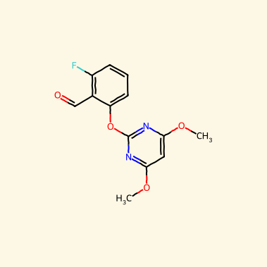 COc1cc(OC)nc(Oc2cccc(F)c2C=O)n1